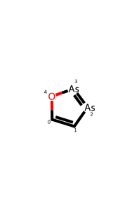 C1=C[As]=[As]O1